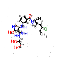 CC/C(Cl)=C\C1=C(C)N(C(=O)c2cccc(Nc3snc(O)c3C(=N)NCC(O)CO)c2)CC1